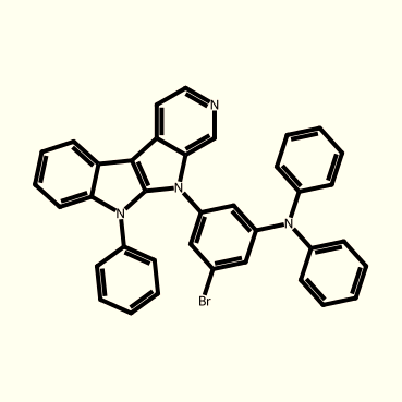 Brc1cc(N(c2ccccc2)c2ccccc2)cc(-n2c3cnccc3c3c4ccccc4n(-c4ccccc4)c32)c1